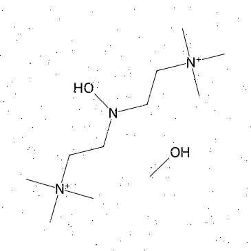 CO.C[N+](C)(C)CCN(O)CC[N+](C)(C)C